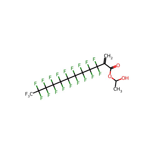 C=C(C(=O)OC(C)O)C(F)(F)C(F)(F)C(F)(F)C(F)(F)C(F)(F)C(F)(F)C(F)(F)C(F)(F)C(F)(F)C(F)(F)F